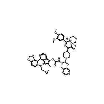 COc1ccc(C2=NN(C3CCN(C(=O)[C@H](Cc4ccncc4)NC(=O)Oc4c(C)[nH]c5c(-c6c(OCC7CC7)ccc7c6OCO7)ncnc45)CC3)C(=O)[C@@H]3CCCC[C@H]23)cc1OC